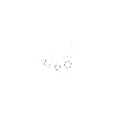 CC(=N)/N=C(\NC(C)C)c1cn2c(n1)-c1cc(S(=O)(=O)C3CCN(C(C)C)CC3)c(C)cc1OCC2